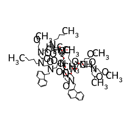 CCCCCN(CC(=O)N(CCOC)CC(=O)N(CCCCC)CC(=O)N(CC(=O)N(CCOC)CC(=O)N(CCCCC)CC(=O)N(CC(=O)N(CCCCC)CC(=O)N(CCOC)CC(=O)N(CCOC)CC(C)=O)Cc1cccc2ccccc12)Cc1cccc2ccccc12)C(=O)CN(C)CCOC